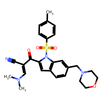 Cc1ccc(S(=O)(=O)n2c(C(=O)C(C#N)=CN(C)C)cc3ccc(CN4CCOCC4)cc32)cc1